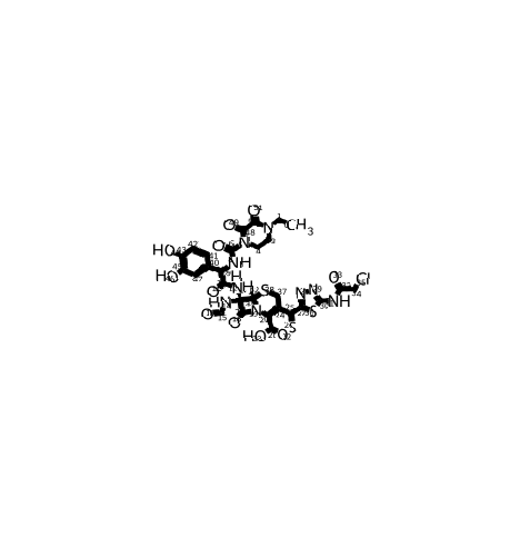 CCN1CCN(C(=O)NC(C(=O)N[C@]2(NC=O)C(=O)N3C(C(=O)O)=C(C(=S)c4nnc(NC(=O)CCl)s4)CS[C@H]32)c2ccc(O)c(O)c2)C(=O)C1=O